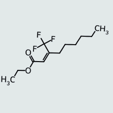 CCCCCCC(=CC(=O)OCC)C(F)(F)F